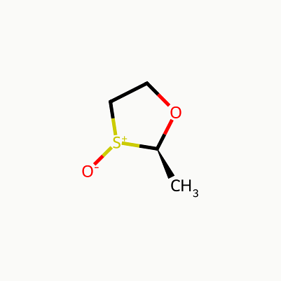 C[C@@H]1OCC[S+]1[O-]